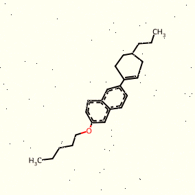 CCCCCOc1ccc2cc(C3=CCC(CCC)CC3)ccc2c1